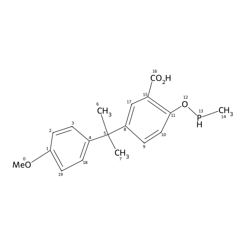 COc1ccc(C(C)(C)c2ccc(OPC)c(C(=O)O)c2)cc1